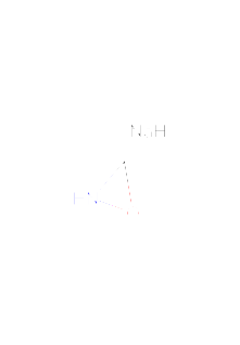 C1NO1.[NaH]